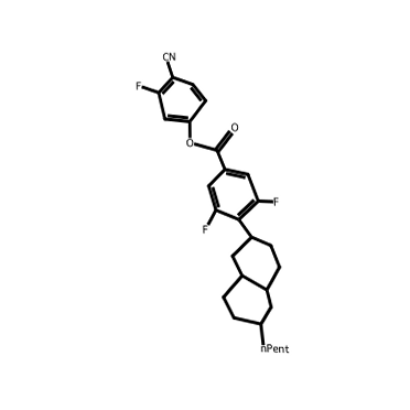 CCCCCC1CCC2CC(c3c(F)cc(C(=O)Oc4ccc(C#N)c(F)c4)cc3F)CCC2C1